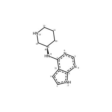 [c]1c[nH]c2ncnc(N[C@@H]3CCCNC3)c12